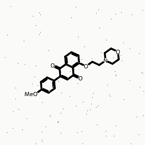 COc1ccc(C2=CC(=O)c3c(OCCN4CCOCC4)cccc3C2=O)cc1